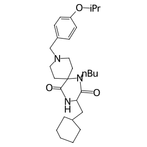 CCCCN1C(=O)C(CC2CCCCC2)NC(=O)C12CCN(Cc1ccc(OC(C)C)cc1)CC2